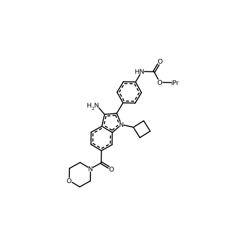 CC(C)OC(=O)Nc1ccc(-c2c(N)c3ccc(C(=O)N4CCOCC4)cc3n2C2CCC2)cc1